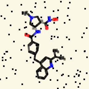 CC(C)c1cc(Cc2ccc(C(=O)N[C@@H]3CN(C)C[C@@H]3C(=O)NO)cc2)c2ccccc2n1